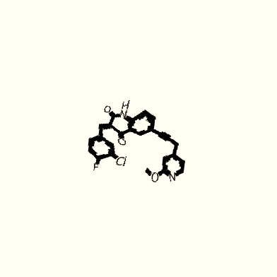 COc1cc(CC#Cc2ccc3c(c2)C(=O)/C(=C\c2ccc(F)c(Cl)c2)C(=O)N3)ccn1